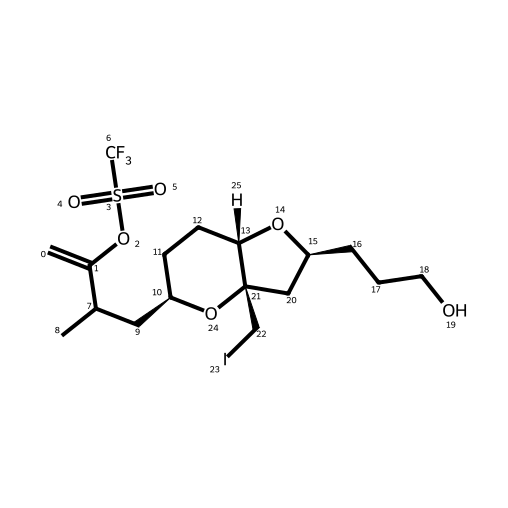 C=C(OS(=O)(=O)C(F)(F)F)C(C)C[C@H]1CC[C@@H]2O[C@@H](CCCO)C[C@]2(CI)O1